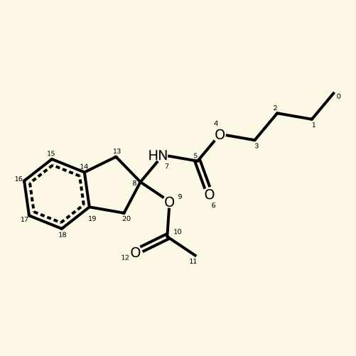 CCCCOC(=O)NC1(OC(C)=O)Cc2ccccc2C1